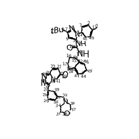 Cc1ccc(-n2nc(C(C)(C)C)cc2NC(=O)N[C@H]2CC[C@@H](Oc3ccc4nnc(-c5cccc(CN6CCOCC6)c5)n4c3)c3ccccc32)cc1